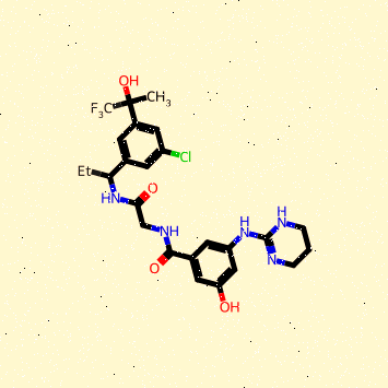 CCC(NC(=O)CNC(=O)c1cc(O)cc(NC2=NCCCN2)c1)c1cc(Cl)cc(C(C)(O)C(F)(F)F)c1